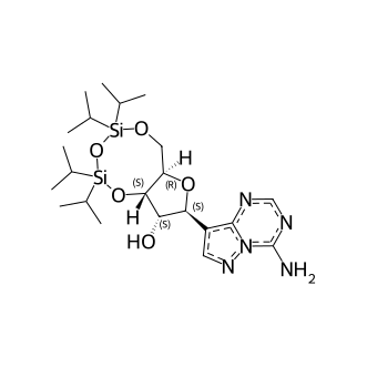 CC(C)[Si]1(C(C)C)OC[C@H]2O[C@@H](c3cnn4c(N)ncnc34)[C@H](O)[C@@H]2O[Si](C(C)C)(C(C)C)O1